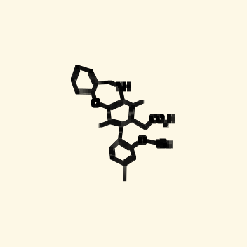 Cc1ccc(-c2c(C)c3c(c(C)c2CC(=O)O)NCc2ccccc2O3)c(OC(C)(C)C)c1